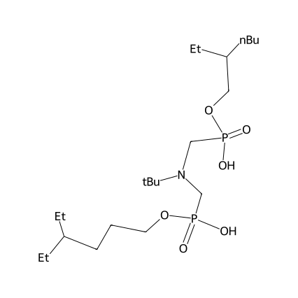 CCCCC(CC)COP(=O)(O)CN(CP(=O)(O)OCCCC(CC)CC)C(C)(C)C